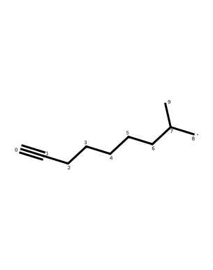 C#CCCCCCC([CH2])C